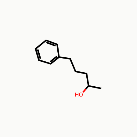 CC(O)CCCc1ccccc1